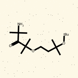 CC(C)(C)OC(C)(C)CCOC(C)(C)C(=O)C(C)(C)N